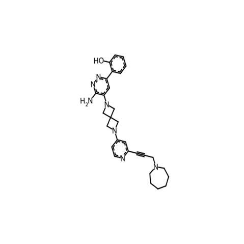 Nc1nnc(-c2ccccc2O)cc1N1CC2(CN(c3ccnc(C#CCN4CCCCCC4)c3)C2)C1